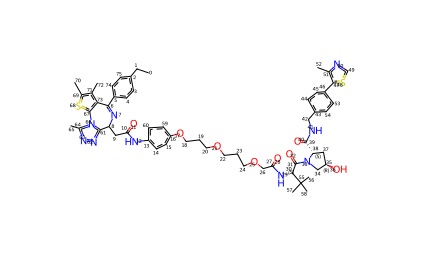 CCc1ccc(C2=NC(CC(=O)Nc3ccc(OCCCOCCCOCC(=O)N[C@H](C(=O)N4C[C@H](O)C[C@H]4C(=O)NCc4ccc(-c5scnc5C)cc4)C(C)(C)C)cc3)c3nnc(C)n3-c3sc(C)c(C)c32)cc1